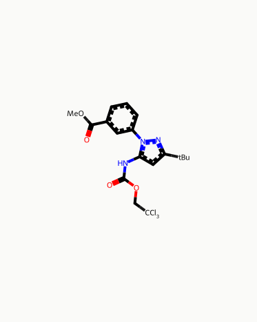 COC(=O)c1cccc(-n2nc(C(C)(C)C)cc2NC(=O)OCC(Cl)(Cl)Cl)c1